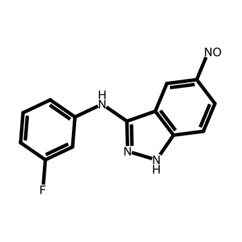 O=Nc1ccc2[nH]nc(Nc3cccc(F)c3)c2c1